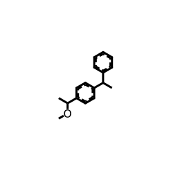 COC(C)c1ccc(C(C)c2ccccc2)cc1